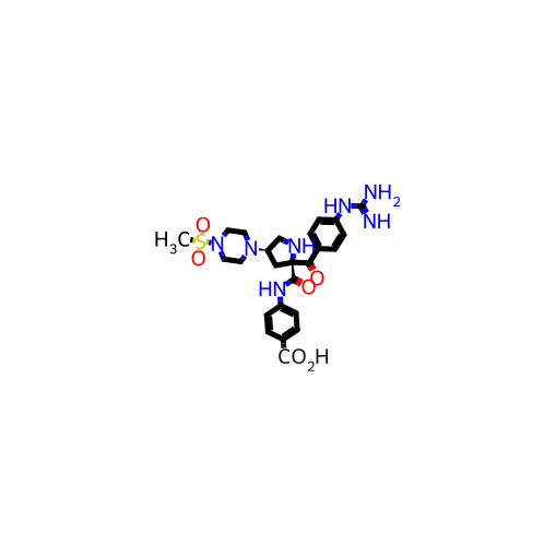 CS(=O)(=O)N1CCN([C@@H]2CN[C@](C(=O)Nc3ccc(C(=O)O)cc3)(C(=O)c3ccc(NC(=N)N)cc3)C2)CC1